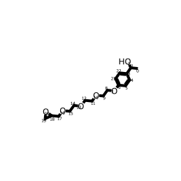 CC(O)c1ccc(OCCOCCOCCOCC2CO2)cc1